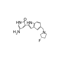 Nc1c[nH]c(=O)c(-c2cc3cc(CN4CC[C@H](F)C4)ccc3[nH]2)c1